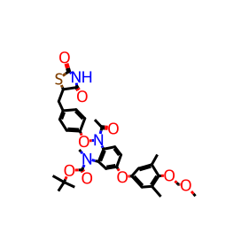 COCOc1c(C)cc(Oc2ccc(N(Oc3ccc(CC4SC(=O)NC4=O)cc3)C(C)=O)c(N(C)C(=O)OC(C)(C)C)c2)cc1C